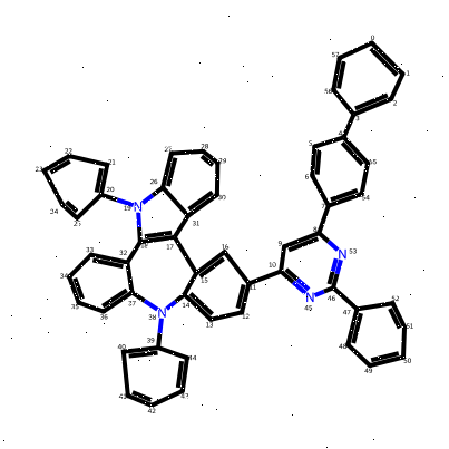 c1ccc(-c2ccc(-c3cc(-c4ccc5c(c4)-c4c(n(-c6ccccc6)c6ccccc46)-c4ccccc4N5c4ccccc4)nc(-c4ccccc4)n3)cc2)cc1